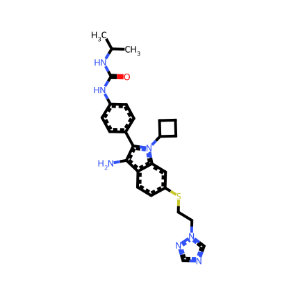 CC(C)NC(=O)Nc1ccc(-c2c(N)c3ccc(SCCn4cncn4)cc3n2C2CCC2)cc1